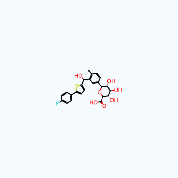 Cc1ccc([C@@H]2O[C@H](C(=O)O)[C@@H](O)[C@H](O)[C@H]2O)cc1C(O)c1ccc(-c2ccc(F)cc2)s1